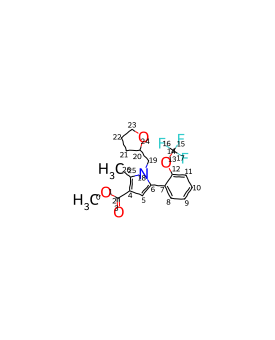 COC(=O)c1cc(-c2ccccc2OC(F)(F)F)n(CC2CCCO2)c1C